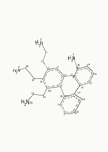 NCCc1cc(CCN)c(-c2ccccc2-c2ccccc2)c(CCN)c1CCN